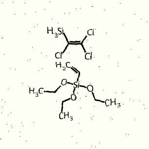 C=C[Si](OCC)(OCC)OCC.[SiH3]C(Cl)=C(Cl)Cl